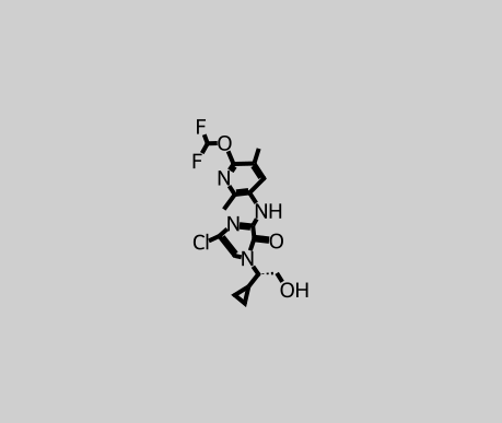 Cc1cc(Nc2nc(Cl)cn([C@H](CO)C3CC3)c2=O)c(C)nc1OC(F)F